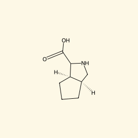 O=C(O)C1NC[C@H]2CCC[C@@H]12